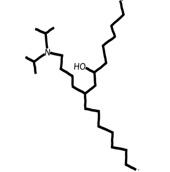 [CH2]CCCCCCCC(CCCCN(C(C)C)C(C)C)CC(O)CCCCC[CH2]